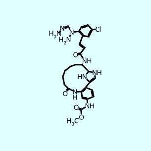 COC(=O)Nc1ccc2c(c1)NC(=O)CCCCC[C@H](NC(=O)/C=C/c1cc(Cl)ccc1N(N)/C=N\N)C1NC=C2N1